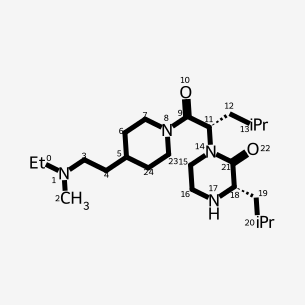 CCN(C)CCC1CCN(C(=O)[C@H](CC(C)C)N2CCN[C@@H](CC(C)C)C2=O)CC1